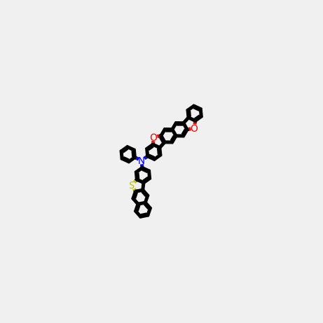 c1ccc(N(c2ccc3c(c2)oc2cc4cc5c(cc4cc23)oc2ccccc25)c2ccc3c(c2)sc2cc4ccccc4cc23)cc1